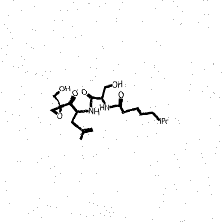 C=C(C)CC(NC(=O)C(CO)NC(=O)CCCCC(C)C)C(=O)[C@@]1(CO)CO1